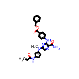 C=CC(=O)NC1CC[C@@H](N(C)c2cnc(C(N)=O)c(Nc3ccc(C(=O)OCc4ccccc4)cc3)n2)C1